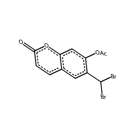 CC(=O)Oc1cc2oc(=O)ccc2cc1C(Br)Br